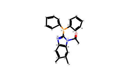 CC(=O)n1c(P(c2ccccc2)c2ccccc2)nc2cc(C)c(C)cc21